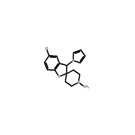 CN1CCC2(CC1)Oc1ccc(Cl)cc1C2n1cccc1